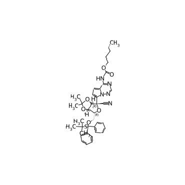 CCCCCOC(=O)Nc1ncnn2c([C@]3(C#N)O[C@H](CO[Si](c4ccccc4)(c4ccccc4)C(C)(C)C)[C@H]4OC(C)(C)O[C@H]43)ccc12